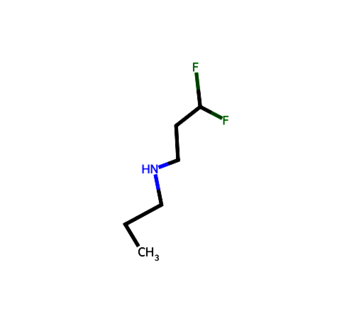 CCCNCCC(F)F